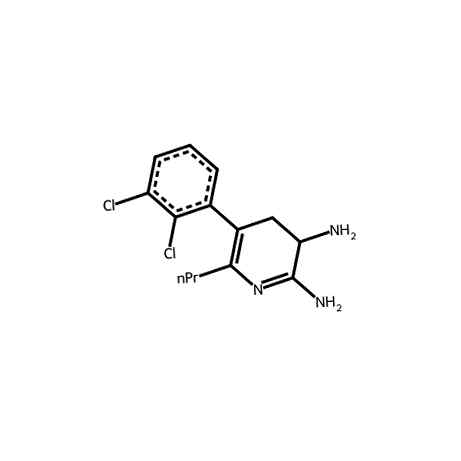 CCCC1=C(c2cccc(Cl)c2Cl)CC(N)C(N)=N1